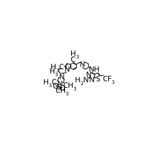 Cc1c(CN2CCC(Nc3nc(N)nc4sc(CC(F)(F)F)cc34)CC2)ccc2c1cc(C)n2C[C@H](C)N1C[C@@H](C)N(S(C)(=O)=O)[C@H](C)C1